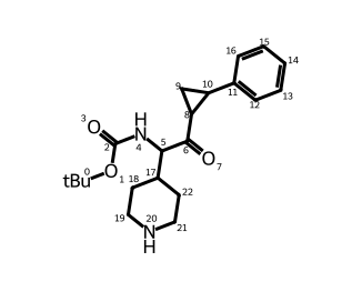 CC(C)(C)OC(=O)NC(C(=O)C1CC1c1ccccc1)C1CCNCC1